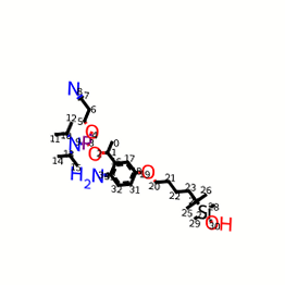 CC(OP(OCCC#N)N(C(C)C)C(C)C)c1cc(OCCCCC(C)(C)[Si](C)(C)O)ccc1N